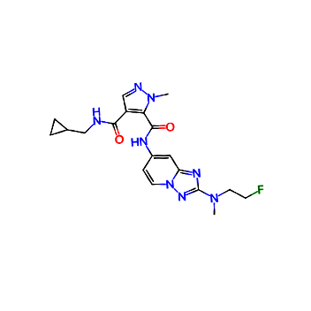 CN(CCF)c1nc2cc(NC(=O)c3c(C(=O)NCC4CC4)cnn3C)ccn2n1